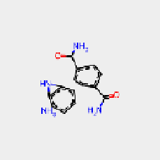 N.NC(=O)c1ccc(C(N)=O)cc1.c1ccc2c(c1)N2